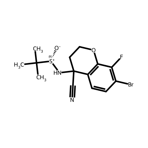 CC(C)(C)[S@+]([O-])NC1(C#N)CCOc2c1ccc(Br)c2F